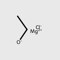 CC[O-].[Cl-].[Mg+2]